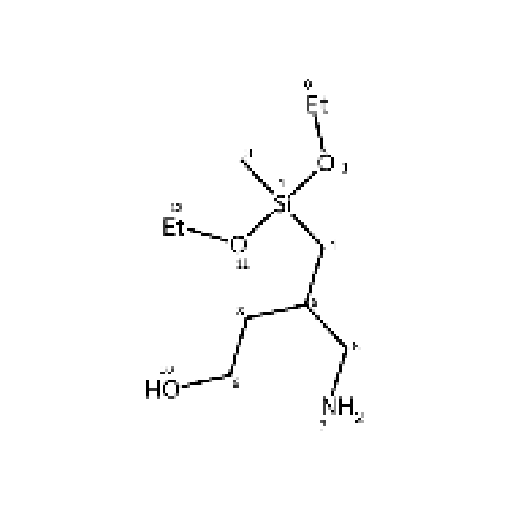 CCO[Si](C)(CC(CN)CCO)OCC